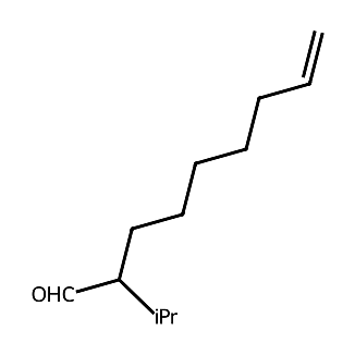 C=CCCCCCC(C=O)C(C)C